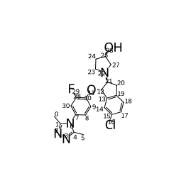 Cc1nnc(C)n1-c1ccc(O[C@H]2c3cc(Cl)ccc3C[C@@H]2N2CC[C@@H](O)C2)c(F)c1